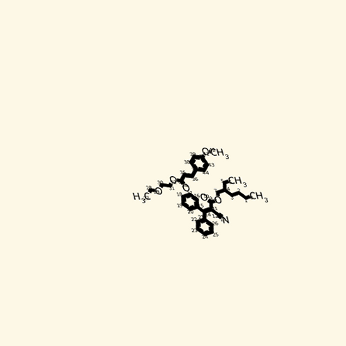 CCCCC(CC)COC(=O)C(C#N)=C(c1ccccc1)c1ccccc1.CCOCCOC(=O)/C=C/c1ccc(OC)cc1